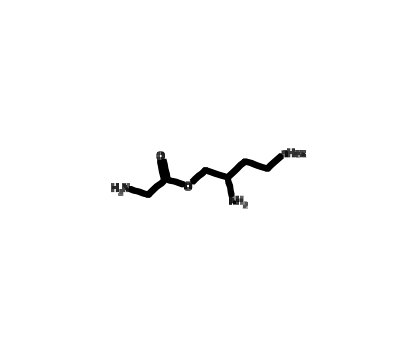 CCCCCCCCC(N)COC(=O)CN